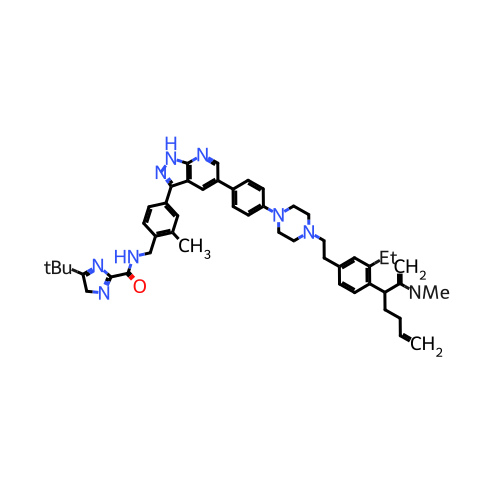 C=CCCC(C(=C)NC)c1ccc(CCN2CCN(c3ccc(-c4cnc5[nH]nc(-c6ccc(CNC(=O)C7=NCC(C(C)(C)C)=N7)c(C)c6)c5c4)cc3)CC2)cc1CC